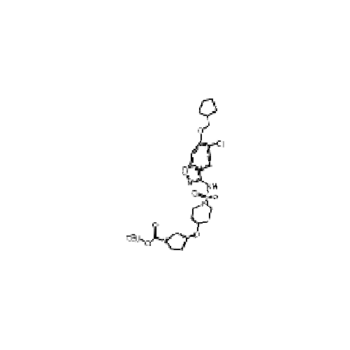 CC(C)(C)OC(=O)N1CCC(OC2CCN(S(=O)(=O)Nc3noc4cc(OCC5CCCC5)c(Cl)cc34)CC2)C1